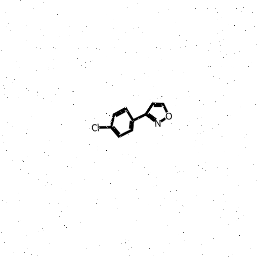 Clc1ccc(-c2[c]con2)cc1